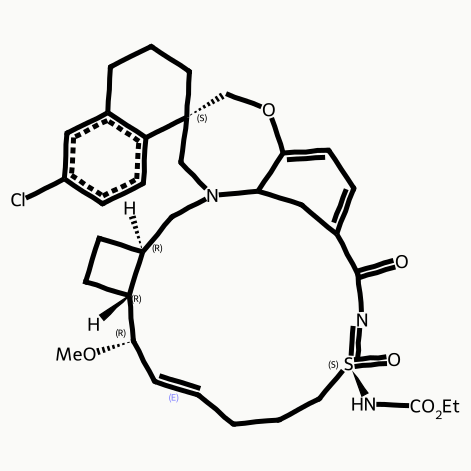 CCOC(=O)N[S@]1(=O)=NC(=O)C2=CC=C3OC[C@]4(CCCc5cc(Cl)ccc54)CN(C[C@@H]4CC[C@H]4[C@@H](OC)/C=C/CCC1)C3C2